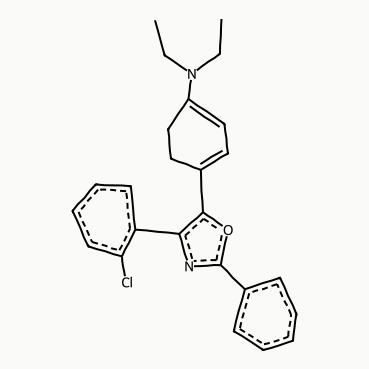 CCN(CC)C1=CC=C(c2oc(-c3ccccc3)nc2-c2ccccc2Cl)CC1